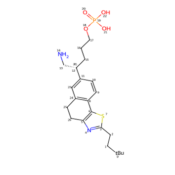 CC(C)(C)CCc1nc2c(s1)-c1ccc([C@H](CN)CCCOP(=O)(O)O)cc1CC2